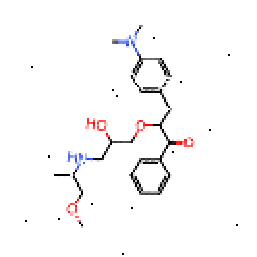 COCC(C)NCC(O)COC(Cc1ccc(N(C)C)cc1)C(=O)c1ccccc1